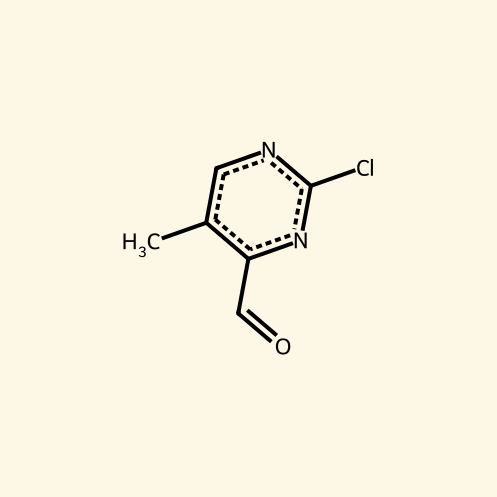 Cc1cnc(Cl)nc1C=O